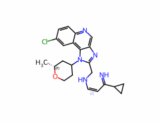 C[C@@H]1CC(n2c(CN/C=C\C(=N)C3CC3)nc3cnc4ccc(Cl)cc4c32)CCO1